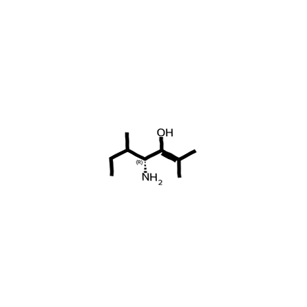 CCC(C)[C@@H](N)C(O)=C(C)C